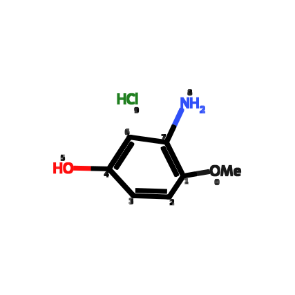 COc1ccc(O)cc1N.Cl